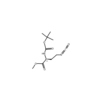 COC(=O)[C@H](CCN=C=O)NC(=O)OC(C)(C)C